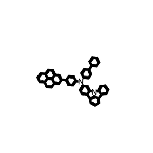 c1ccc(-c2ccc(N(c3ccc(-c4cc5ccc6cccc7ccc(c4)c5c67)cc3)c3ccc4c5cccc6c7ccccc7n(c4c3)c65)cc2)cc1